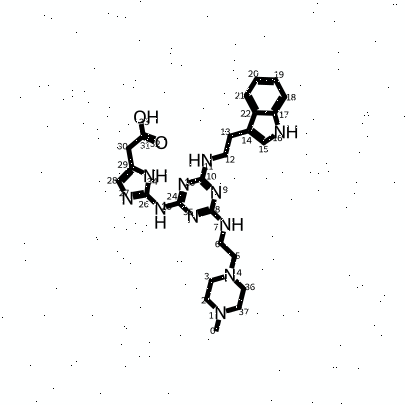 CN1CCN(CCNc2nc(NCCc3c[nH]c4ccccc34)nc(Nc3ncc(CC(=O)O)[nH]3)n2)CC1